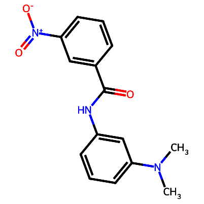 CN(C)c1cccc(NC(=O)c2cccc([N+](=O)[O-])c2)c1